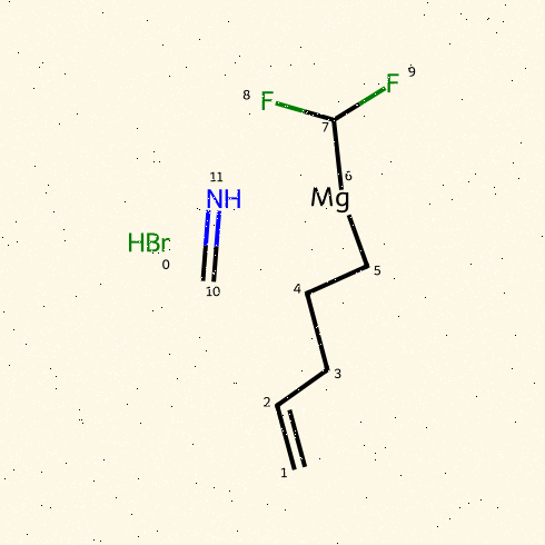 Br.C=CCC[CH2][Mg][CH](F)F.C=N